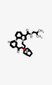 COc1cccc2c(C(=O)NCC(C)C)cn(CCCN3C4CCC3CC(CC(=O)c3ccccc3)C4)c12